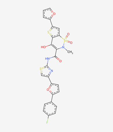 CN1C(C(=O)Nc2nc(-c3ccc(-c4ccc(F)cc4)o3)cs2)=C(O)c2sc(-c3ccco3)cc2S1(=O)=O